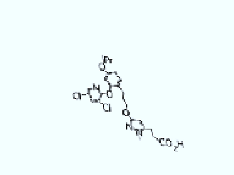 CC(C)Oc1ccc(CCCOc2cc(CCC(=O)O)n(C)n2)c(Oc2ncc(Cl)cc2Cl)c1